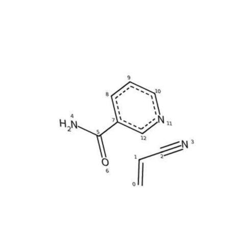 C=CC#N.NC(=O)c1cccnc1